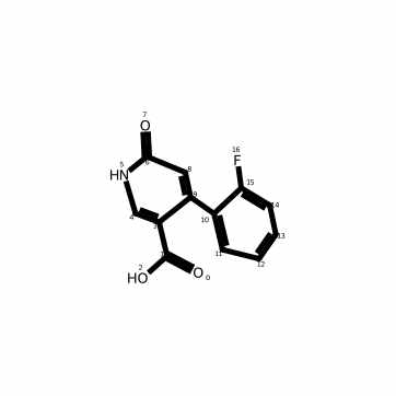 O=C(O)c1c[nH]c(=O)cc1-c1ccccc1F